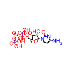 C[C@]1(COP(=O)(O)OP(=O)(O)OP(=O)(O)O)O[C@@H](n2ccc(N)nc2=O)C(O)C1O